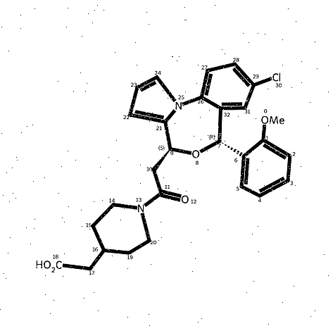 COc1ccccc1[C@@H]1O[C@@H](CC(=O)N2CCC(CC(=O)O)CC2)c2cccn2-c2ccc(Cl)cc21